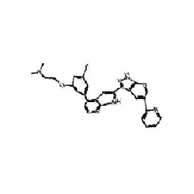 CN(C)CCOc1cc(F)cc(-c2ccnc3[nH]c(-c4n[nH]c5ncc(-c6ccccn6)cc45)cc23)c1